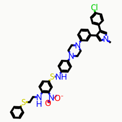 Cn1cc(-c2ccc(Cl)cc2)c(-c2cccc(N3CCN(c4ccc(NSc5ccc(NCCSc6ccccc6)c([N+](=O)[O-])c5)cc4)CC3)c2)c1